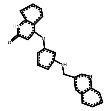 O=c1cc(Oc2cccc(NCc3cnc4ccccc4c3)c2)c2ccccc2[nH]1